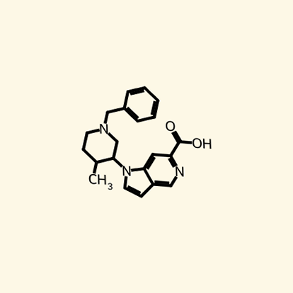 CC1CCN(Cc2ccccc2)CC1n1ccc2cnc(C(=O)O)cc21